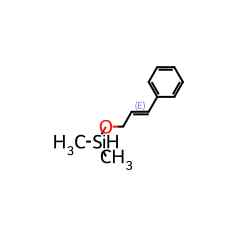 C[SiH](C)OC/C=C/c1ccccc1